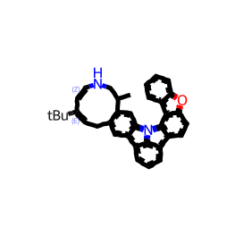 CC1CN/C=C\C(C(C)(C)C)=C/Cc2cc3c4cccc5c6ccc7oc8ccccc8c7c6n(c3cc21)c45